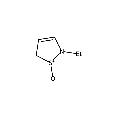 [CH2]CN1C=CC[S+]1[O-]